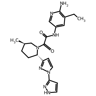 CCc1cc(NC(=O)C(=O)N2C[C@H](C)CC[C@H]2c2ccn(-c3cc[nH]n3)n2)cnc1N